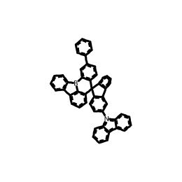 c1ccc(-c2ccc3c(c2)B2c4ccccc4-c4cccc(c42)C32c3ccccc3-c3cc(-n4c5ccccc5c5ccccc54)ccc32)cc1